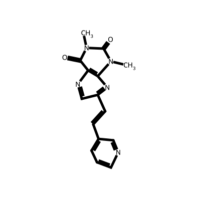 Cn1c(=O)c2ncc(C=Cc3cccnc3)nc2n(C)c1=O